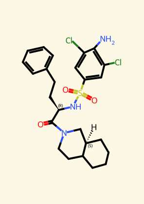 Nc1c(Cl)cc(S(=O)(=O)N[C@H](CCc2ccccc2)C(=O)N2CCC3CCCC[C@@H]3C2)cc1Cl